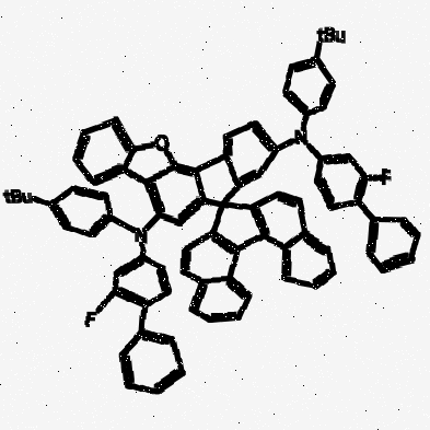 CC(C)(C)c1ccc(N(c2ccc(-c3ccccc3)c(F)c2)c2ccc3c(c2)C2(c4ccc5ccccc5c4-c4c2ccc2ccccc42)c2cc(N(c4ccc(C(C)(C)C)cc4)c4ccc(-c5ccccc5)c(F)c4)c4c(oc5ccccc54)c2-3)cc1